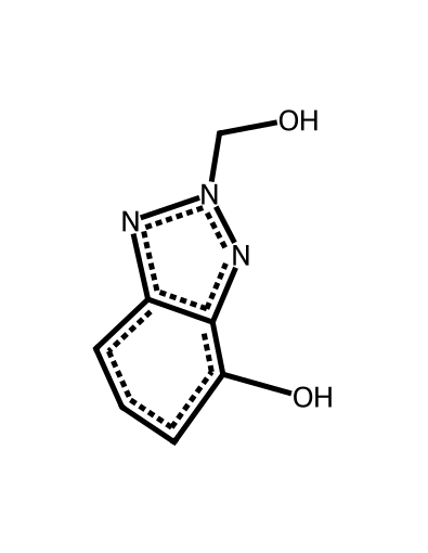 OCn1nc2cccc(O)c2n1